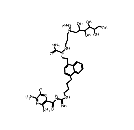 CCCCCCN(CCCN[C@H](CCc1ccc(CCCCNC(=N)NC(=O)c2nc(Cl)c(N)nc2N)c2ccccc12)C(N)=O)CC(O)C(O)C(O)C(O)CO